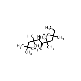 CCC(C)(C)CC(C)(C)C(=O)NC(C)(C)CC(C)(C)C